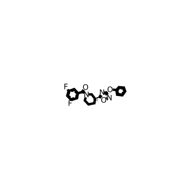 O=C(c1cc(F)cc(F)c1)N1CCC[C@H](c2nc(Oc3ccccc3)no2)C1